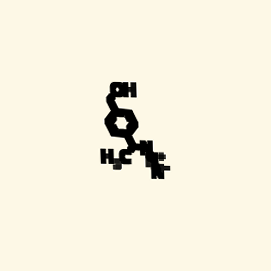 CC(N=[N+]=[N-])c1ccc(CO)cc1